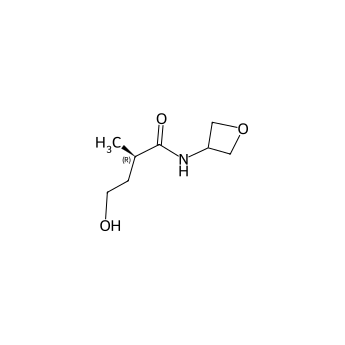 C[C@H](CCO)C(=O)NC1COC1